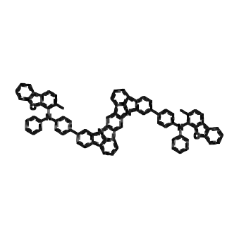 Cc1ccc2c(oc3ccccc32)c1N(c1ccccc1)c1ccc(-c2ccc3c4cccc5c6cc7c(cc6n(c3c2)c45)c2cccc3c4ccc(-c5ccc(N(c6ccccc6)c6c(C)ccc8c6oc6ccccc68)cc5)cc4n7c32)cc1